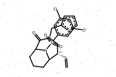 C=C[C@H]1CN(Cc2ccco2)C(=O)C2CCCC1N2S(=O)(=O)c1cc(Cl)cc(Cl)c1